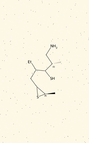 CCC(CC1S[C@@H]1C)C(S)[C@@H](C)CN